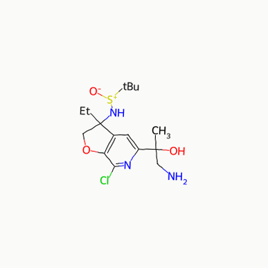 CCC1(N[S+]([O-])C(C)(C)C)COc2c1cc(C(C)(O)CN)nc2Cl